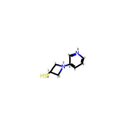 SC1CN(c2cccnc2)C1